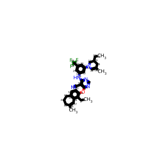 CCc1c(Oc2ncnc(Nc3cc(N4C=C(C)CC(CC)C4)cc(C(F)(F)F)c3)c2C#N)ccc2c1C=C(C)CCC2